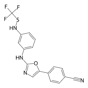 N#Cc1ccc(-c2cnc(Nc3cccc(NSC(F)(F)F)c3)o2)cc1